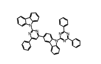 c1ccc(-c2cc(-c3ccc4c(c3)c3ccccc3n4-c3nc(-c4ccccc4)nc(-c4ccccc4)n3)nc(-n3c4ccccc4c4ccccc43)n2)cc1